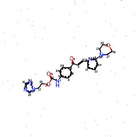 O=C(Nc1ccc(C(=O)C=Cc2cccc(N3CCOCC3)n2)cc1)OCCn1cncn1